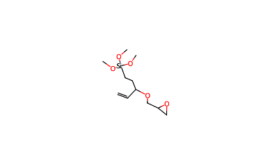 C=CC(CC[Si](OC)(OC)OC)OCC1CO1